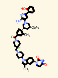 CO[C@@H]1C[C@H](c2ccc(C(=O)N3CCC(F)(CN4CCC(n5cc(C)c6cc(N7CCC(=O)NC7=O)ccc65)CC4)CC3)cc2C)CN(c2cc(-c3ccccc3O)nnc2N)C1